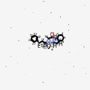 CCOC(=O)[C@@H]1C[C@H]2CCCC[C@@H]2N1C(=O)[C@H](C)N[C@@H](CCc1ccccc1)C(=O)O